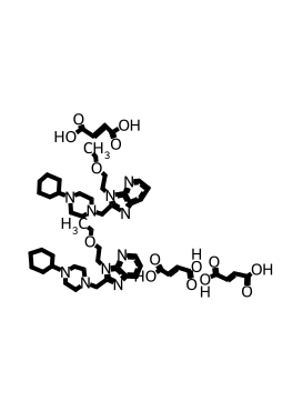 CCOCCn1c(CN2CCN(C3CCCCC3)CC2)nc2cccnc21.CCOCCn1c(CN2CCN(C3CCCCC3)CC2)nc2cccnc21.O=C(O)C=CC(=O)O.O=C(O)C=CC(=O)O.O=C(O)C=CC(=O)O